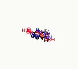 CCC(O)(CC)C(=O)N[C@H]1Cc2ccc3c(c2)[C@]24c5cccc(c5NC2O3)-c2cccc3c2c(cn3COP(=O)(O)O)-c2cnc(o2)-c2nc(oc24)[C@H](C(C)C)NC1=O